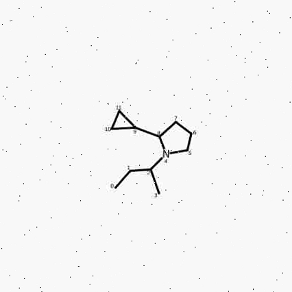 CCC(C)N1CCCC1C1CC1